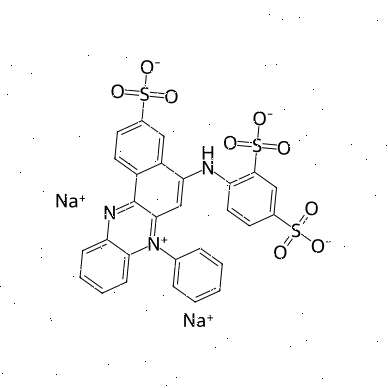 O=S(=O)([O-])c1ccc(Nc2cc3c(nc4ccccc4[n+]3-c3ccccc3)c3ccc(S(=O)(=O)[O-])cc23)c(S(=O)(=O)[O-])c1.[Na+].[Na+]